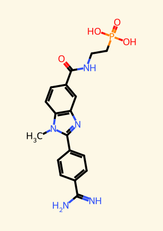 Cn1c(-c2ccc(C(=N)N)cc2)nc2cc(C(=O)NCCP(=O)(O)O)ccc21